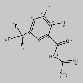 N=C(N)NC(=O)c1cc(C(F)(F)F)cc(I)c1Cl